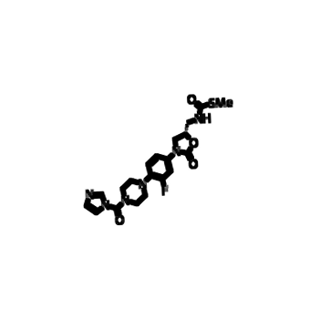 CSC(=O)NC[C@H]1CN(c2ccc(N3CCN(C(=O)n4ccnc4)CC3)c(F)c2)C(=O)O1